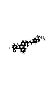 NS(=O)(=O)c1ccc(CCNCc2ccc(-c3nc4cc[nH]c(=O)c4cc3-c3ccccc3)cc2)cc1